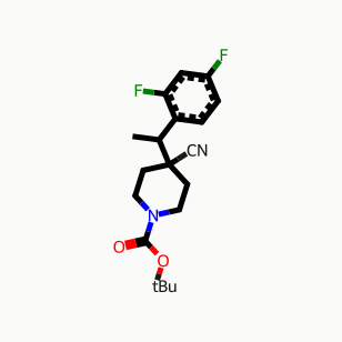 CC(c1ccc(F)cc1F)C1(C#N)CCN(C(=O)OC(C)(C)C)CC1